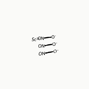 O=N[O-].O=N[O-].O=N[O-].[Sc+3]